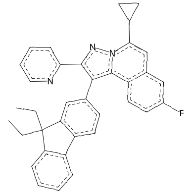 CCC1(CC)c2ccccc2-c2ccc(-c3c(-c4ccccn4)nn4c(C5CC5)cc5cc(F)ccc5c34)cc21